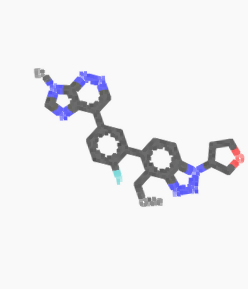 CCn1cnc2c(-c3ccc(F)c(-c4ccc5c(nnn5C5CCOC5)c4COC)c3)cnnc21